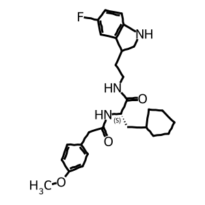 COc1ccc(CC(=O)N[C@@H](CC2CCCCC2)C(=O)NCCC2CNc3ccc(F)cc32)cc1